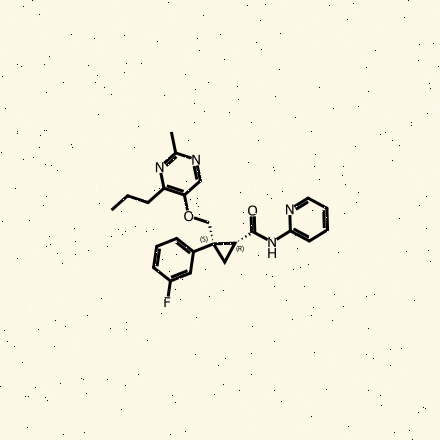 CCCc1nc(C)ncc1OC[C@@]1(c2cccc(F)c2)C[C@H]1C(=O)Nc1ccccn1